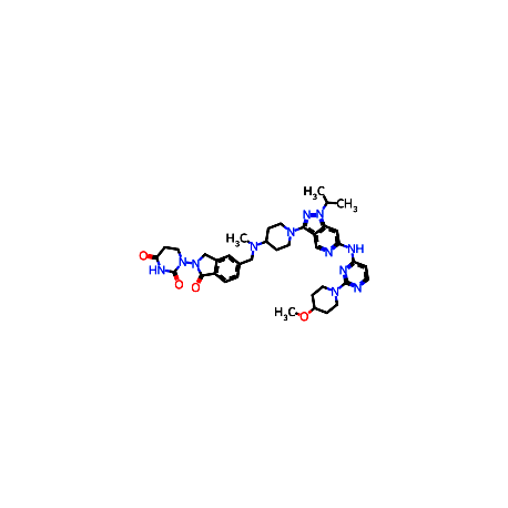 COC1CCN(c2nccc(Nc3cc4c(cn3)c(N3CCC(N(C)Cc5ccc6c(c5)CN(N5CCC(=O)NC5=O)C6=O)CC3)nn4C(C)C)n2)CC1